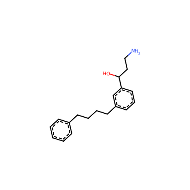 NCCC(O)c1cccc(CCCCc2ccccc2)c1